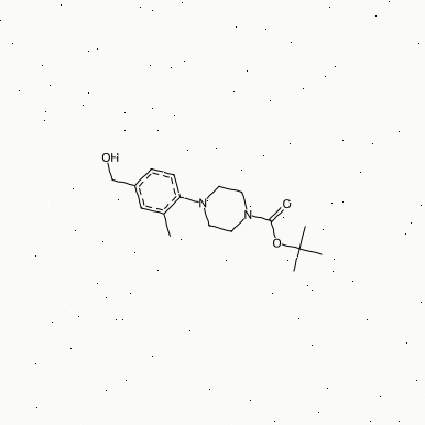 Cc1cc(CO)ccc1N1CCN(C(=O)OC(C)(C)C)CC1